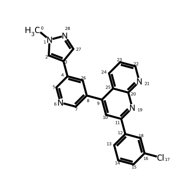 Cn1cc(-c2cncc(-c3cc(-c4cccc(Cl)c4)nc4ncccc34)c2)cn1